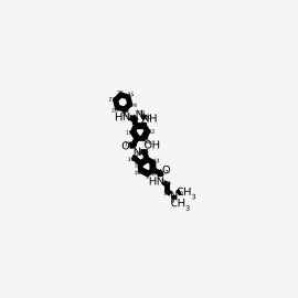 CN(C)CCNC(=O)c1ccc2c(c1)CN(C(=O)c1cc3c(NC4CCCCC4)n[nH]c3cc1O)C2